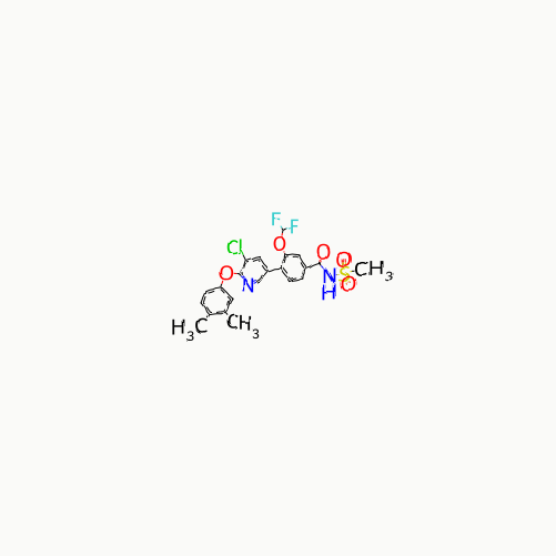 Cc1ccc(Oc2ncc(-c3ccc(C(=O)NS(C)(=O)=O)cc3OC(F)F)cc2Cl)cc1C